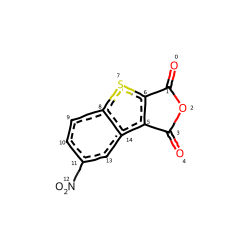 O=C1OC(=O)c2c1sc1ccc([N+](=O)[O-])cc21